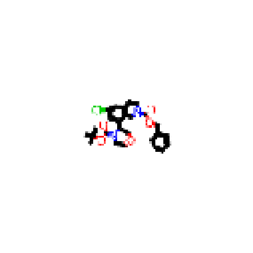 CC(C)(C)OC(=O)N1CCOCC1c1cc(Cl)cc2c1CN(C(=O)OCc1ccccc1)CC2